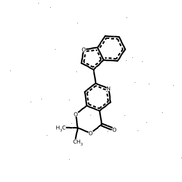 CC1(C)OC(=O)c2cnc(-c3coc4ccccc34)cc2O1